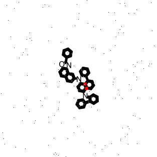 c1ccc(-c2nc3c(ccc4ccc(N(c5ccc(-n6c7ccccc7c7ccccc76)cc5)c5ccccc5-c5ccccc5)cc43)o2)cc1